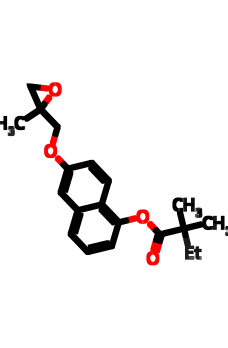 CCC(C)(C)C(=O)Oc1cccc2cc(OCC3(C)CO3)ccc12